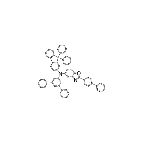 c1ccc(-c2ccc(-c3nc4cc(N(c5cc(-c6ccccc6)cc(-c6ccccc6)c5)c5ccc6c(c5)C(c5ccccc5)(c5ccccc5)c5ccccc5-6)ccc4o3)cc2)cc1